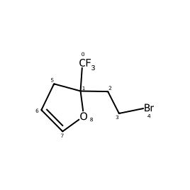 FC(F)(F)C1(CCBr)CC=CO1